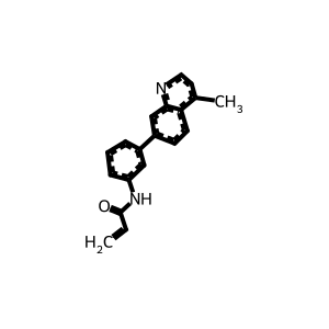 C=CC(=O)Nc1cccc(-c2ccc3c(C)ccnc3c2)c1